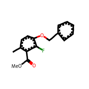 COC(=O)c1c(C)ccc(OCc2ccccc2)c1F